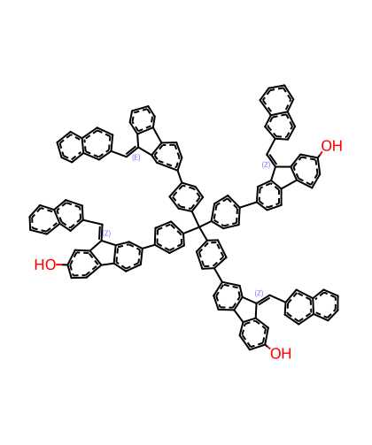 Oc1ccc2c(c1)/C(=C\c1ccc3ccccc3c1)c1cc(-c3ccc(C(c4ccc(-c5ccc6c(c5)/C(=C/c5ccc7ccccc7c5)c5cc(O)ccc5-6)cc4)(c4ccc(-c5ccc6c(c5)/C(=C/c5ccc7ccccc7c5)c5cc(O)ccc5-6)cc4)c4ccc(-c5ccc6c(c5)/C(=C/c5ccc7ccccc7c5)c5ccccc5-6)cc4)cc3)ccc1-2